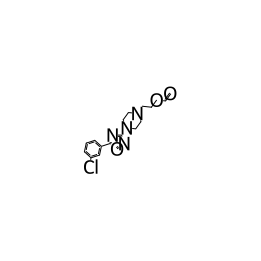 O=COCCN1CCN(c2noc(-c3cccc(Cl)c3)n2)CC1